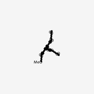 C=CC(=O)OCCCCCCOC(=O)c1ccc(C#Cc2ccc3c(c2)nc(Oc2ccc(OCCCCCCOC(=O)C=C)cc2)c2cc(C#Cc4ccc(C(=O)OCCCCCCOC)cc4)ccc23)cc1